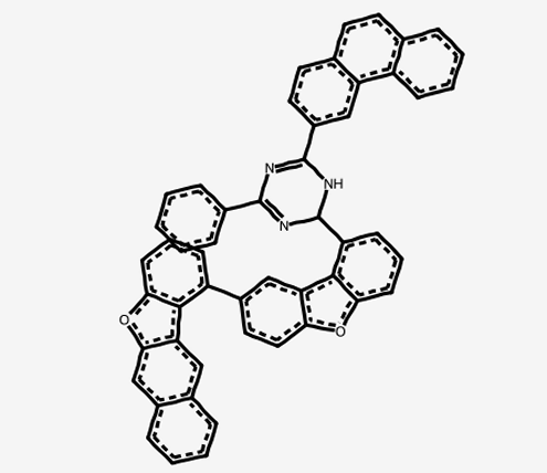 c1ccc(C2=NC(c3cccc4oc5ccc(-c6cccc7oc8cc9ccccc9cc8c67)cc5c34)NC(c3ccc4ccc5ccccc5c4c3)=N2)cc1